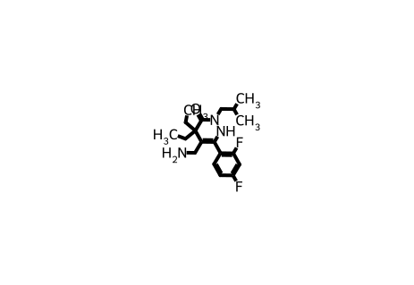 CCC1(CC)C(=O)N(CC(C)C)NC(c2ccc(F)cc2F)=C1CN